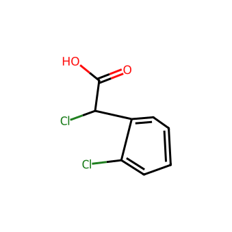 O=C(O)C(Cl)c1ccccc1Cl